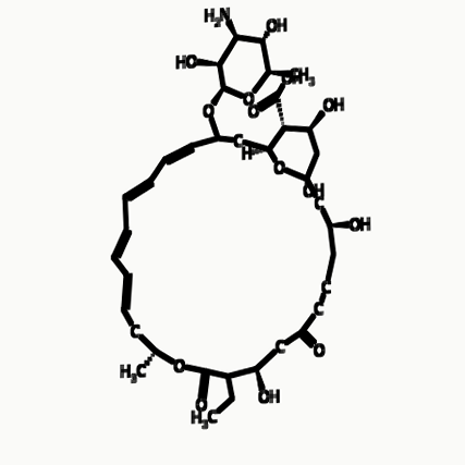 CCC1C(=O)O[C@H](C)C/C=C/C=C/C=C/C=C/C(O[C@@H]2O[C@H](C)[C@@H](O)[C@H](N)[C@@H]2O)C[C@@H]2O[C@](O)(C[C@@H](O)CCCC(=O)C[C@H]1O)C[C@H](O)[C@H]2C(=O)O